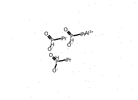 CC(C)[PH](=O)[O-].CC(C)[PH](=O)[O-].CC(C)[PH](=O)[O-].[Al+3]